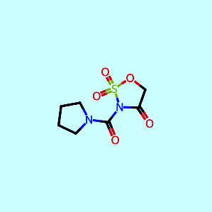 O=C1COS(=O)(=O)N1C(=O)N1CCCC1